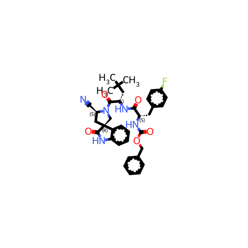 CC(C)(C)C[C@H](NC(=O)[C@H](Cc1ccc(F)cc1)NC(=O)OCc1ccccc1)C(=O)N1C[C@]2(C[C@H]1C#N)C(=O)Nc1ccccc12